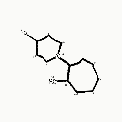 [O]C1CCN(C2CCCCCC2O)CC1